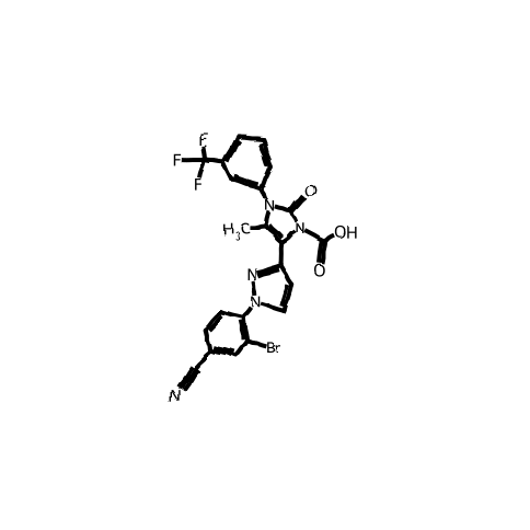 Cc1c(-c2ccn(-c3ccc(C#N)cc3Br)n2)n(C(=O)O)c(=O)n1-c1cccc(C(F)(F)F)c1